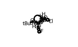 CC(C)(C)COC(=O)N[C@H]1CCCCC/C=C\[C@@H]2C[C@@]2(C(=O)NS(=O)(=O)c2ccc(Cl)cc2)NC(=O)[C@@H]2C[C@@H](OC(=O)N3Cc4cccc(F)c4C3)CN2C1=O